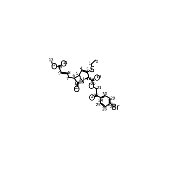 CCSC1=CC2C(CC=CC(=O)OC)C(=O)N2C1C(=O)OCC(=O)c1ccc(Br)cc1